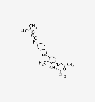 Cc1c(NCC2CCC(NOSOC(C)C)CC2)ccc(N2C[C@@H](C)O[C@@H](C)C2)c1C